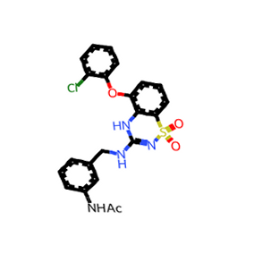 CC(=O)Nc1cccc(CNC2=NS(=O)(=O)c3cccc(Oc4ccccc4Cl)c3N2)c1